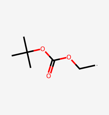 [CH2]COC(=O)OC(C)(C)C